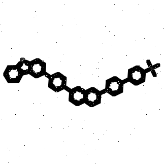 C[Si](C)(C)c1ccc(-c2ccc(-c3ccc4ccc(-c5ccc(-c6ccc7oc8ccccc8c7c6)cc5)cc4c3)cc2)cc1